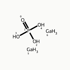 O=P(O)(O)O.[GaH3].[GaH3]